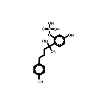 O=P(O)(O)Oc1cc(O)ccc1C(O)(O)CCCc1ccc(O)cc1